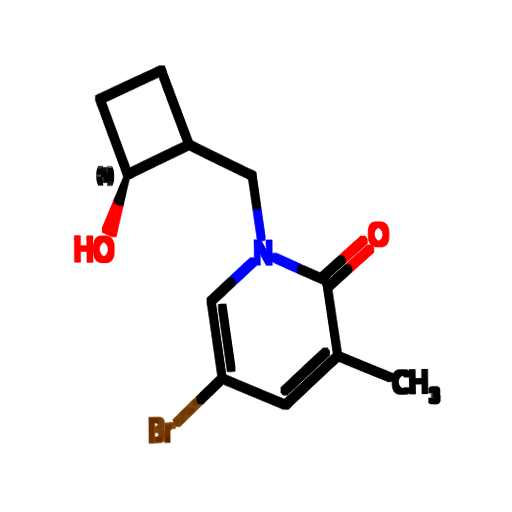 Cc1cc(Br)cn(CC2CC[C@@H]2O)c1=O